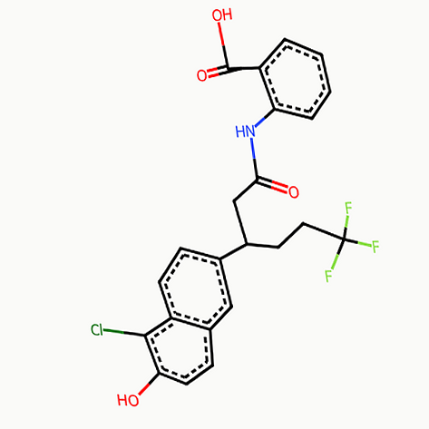 O=C(CC(CCC(F)(F)F)c1ccc2c(Cl)c(O)ccc2c1)Nc1ccccc1C(=O)O